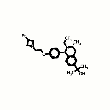 CCC1CN(CCOc2ccc([C@@H]3c4ccc(C(C)(C)O)cc4C[C@@H](C)N3CC(F)(F)F)cc2)C1